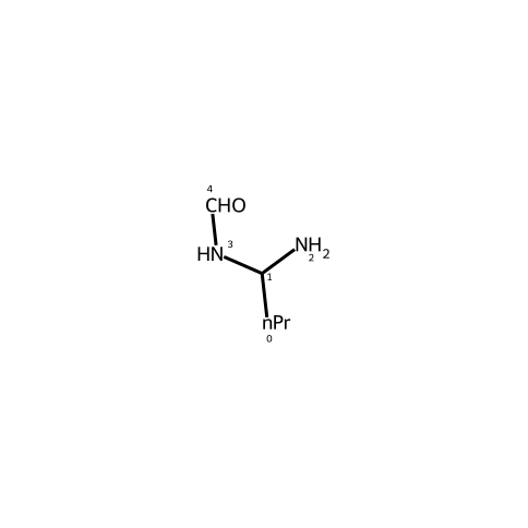 CCCC(N)NC=O